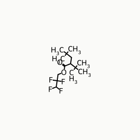 CC(C)(C)CC(C(=O)OCC(F)(F)C(F)F)C(C)(C)C